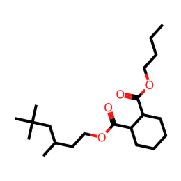 CCCCOC(=O)C1CCCCC1C(=O)OCCC(C)CC(C)(C)C